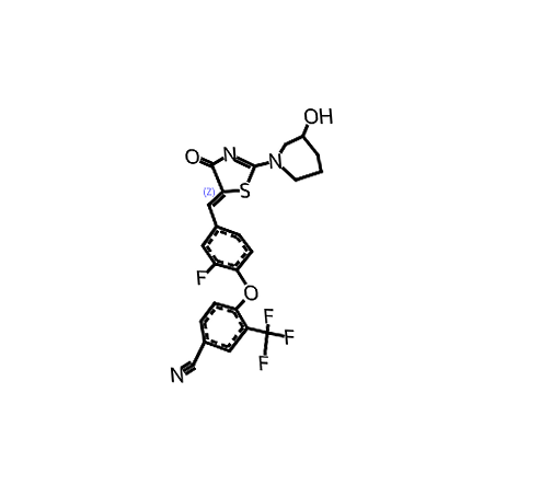 N#Cc1ccc(Oc2ccc(/C=C3\SC(N4CCCC(O)C4)=NC3=O)cc2F)c(C(F)(F)F)c1